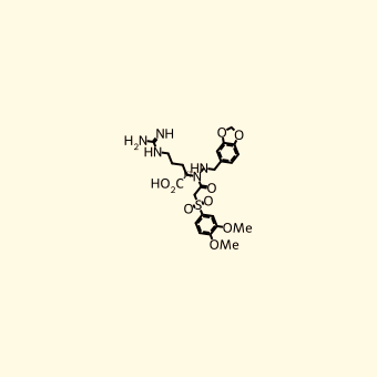 COc1ccc(S(=O)(=O)CC(=O)N(NCc2ccc3c(c2)OCO3)[C@@H](CCCNC(=N)N)C(=O)O)cc1OC